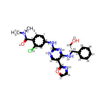 CN(C)C(=O)c1ccc(Nc2ncc(-c3ncco3)c(N[C@H](CO)c3ccccc3)n2)cc1Cl